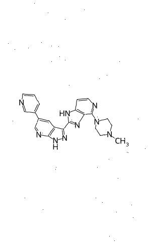 CN1CCN(c2nccc3[nH]c(-c4n[nH]c5ncc(-c6cccnc6)cc45)nc23)CC1